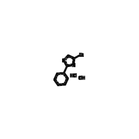 CCc1csc(-c2ccccc2)n1.Cl.Cl